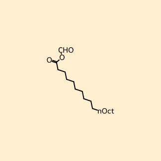 CCCCCCCCCCCCCCCCCC(=O)OC=O